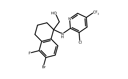 OCC1(Nc2ncc(C(F)(F)F)cc2Cl)CCCc2c1ccc(Br)c2F